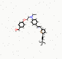 CCN(CCOc1ccc(C=O)cc1)c1ccc(/C=C/c2ccc(C#C[Si](C)(C)C)s2)cc1